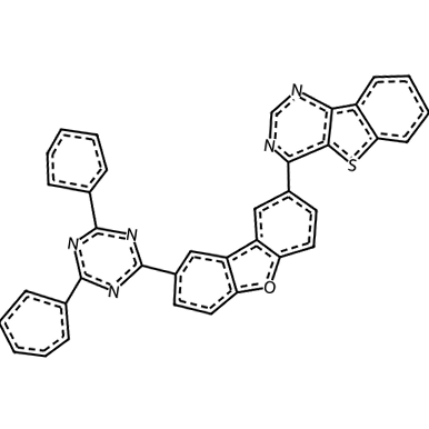 c1ccc(-c2nc(-c3ccccc3)nc(-c3ccc4oc5ccc(-c6ncnc7c6sc6ccccc67)cc5c4c3)n2)cc1